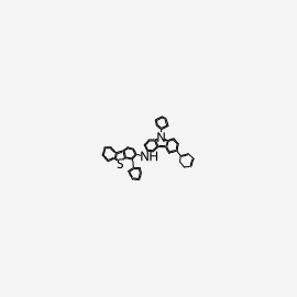 C1=CCCC(c2ccc3c(c2)c2cc(Nc4ccc5c(sc6ccccc65)c4-c4ccccc4)ccc2n3-c2ccccc2)=C1